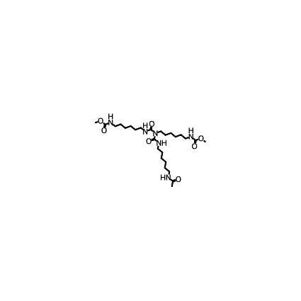 COC(=O)NCCCCCCNC(=O)N(CCCCCCNC(=O)OC)C(=O)NCCCCCCNC(C)=O